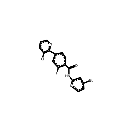 CCc1ccnc(NC(=O)c2ccc(-c3ncccc3Cl)cc2F)c1